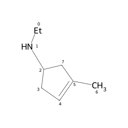 CCNC1CC=C(C)C1